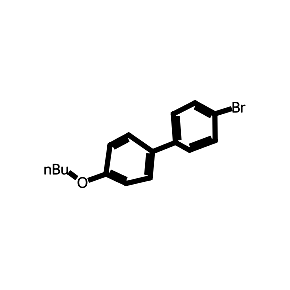 CCCCOc1ccc(-c2ccc(Br)cc2)cc1